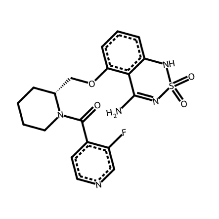 NC1=NS(=O)(=O)Nc2cccc(OC[C@H]3CCCCN3C(=O)c3ccncc3F)c21